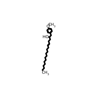 CCCCCCCCCCCCCC=CCCC(O)Cc1ccc(OC)cc1